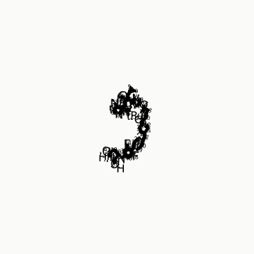 CC(C)(C)n1nc(-c2noc(C3CC3)c2-c2ncc(OC3CN(CC(=O)N4CCC(CN5CCN(c6c(F)cc(NC7CCC(=O)NC7=O)cc6F)CC5)CC4)C3)cn2)c2c(N)ncnc21